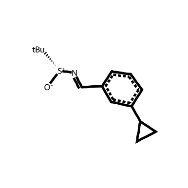 CC(C)(C)[S@@+]([O-])/N=C/c1cccc(C2CC2)c1